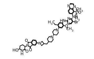 CCc1cc(Nc2ncc(Br)c(Nc3ccc4nccnc4c3P(C)(C)=O)n2)c(OC)cc1N1CCC(N2CCC(CC3CN(c4ccc5c(c4)C(=O)N(C4CCC(O)NC4=O)C5=O)C3)CC2)CC1